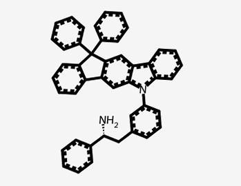 N[C@H](Cc1cccc(-n2c3ccccc3c3cc4c(cc32)-c2ccccc2C4(c2ccccc2)c2ccccc2)c1)c1ccccc1